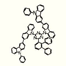 c1ccc(-c2cccc(-c3nc(-n4c5ccccc5c5ccc(-c6ccc7c(c6)c6ccccc6n7-c6ccccc6)cc54)nc(-n4c5ccccc5c5ccc(-c6ccc7c(c6)c6ccccc6n7-c6ccccc6)cc54)n3)c2-c2ccccc2)cc1